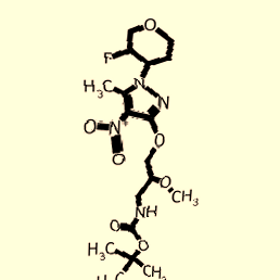 COC(CNC(=O)OC(C)(C)C)COc1nn(C2CCOCC2F)c(C)c1[N+](=O)[O-]